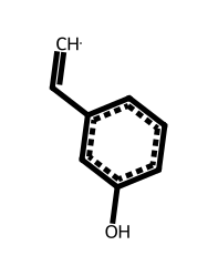 [CH]=Cc1cccc(O)c1